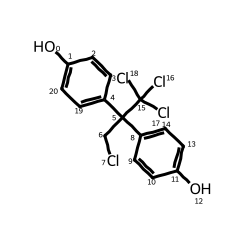 Oc1ccc(C(CCl)(c2ccc(O)cc2)C(Cl)(Cl)Cl)cc1